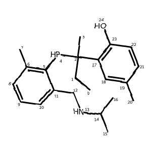 CCC(C)(Pc1c(C)cccc1CNC(C)C)c1cc(C)ccc1O